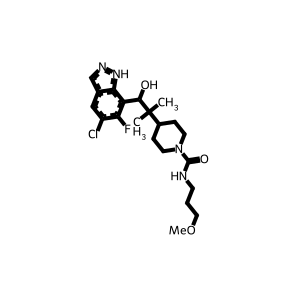 COCCCNC(=O)N1CCC(C(C)(C)C(O)c2c(F)c(Cl)cc3cn[nH]c23)CC1